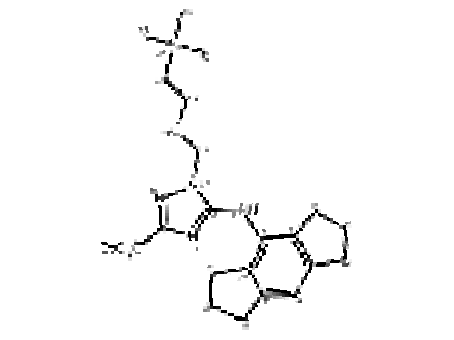 CCOC(=O)c1nc(Nc2c3c(cc4c2CCC4)CCC3)n(COCC[Si](C)(C)C)n1